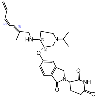 C=C/C=C\C=C(/C)CN[C@H]1CCN(C(C)C)C[C@@H]1Oc1ccc2c(c1)CN(C1CCC(=O)NC1=O)C2=O